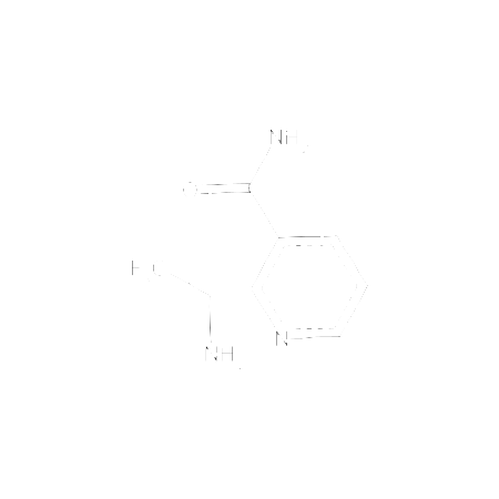 NC(=O)c1cccnc1.NCC(F)(F)F